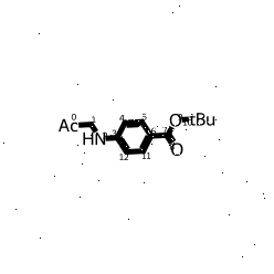 CC(=O)CNc1ccc(C(=O)OC(C)(C)C)cc1